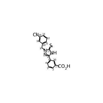 O=C(O)c1cccc(-c2nn(Cc3cccc(Cl)c3)c(=S)[nH]2)c1